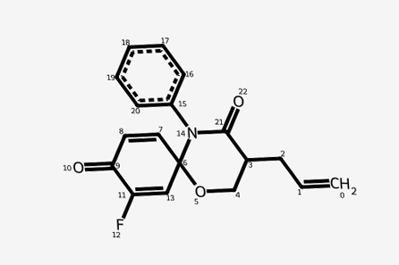 C=CCC1COC2(C=CC(=O)C(F)=C2)N(c2ccccc2)C1=O